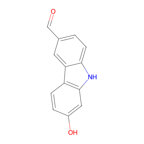 O=Cc1ccc2[nH]c3cc(O)ccc3c2c1